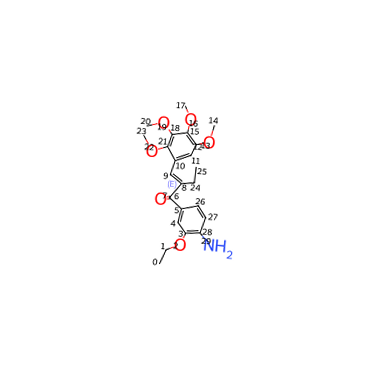 CCOc1cc(C(=O)/C(=C/c2cc(OC)c(OC)c(OC)c2OC)CC)ccc1N